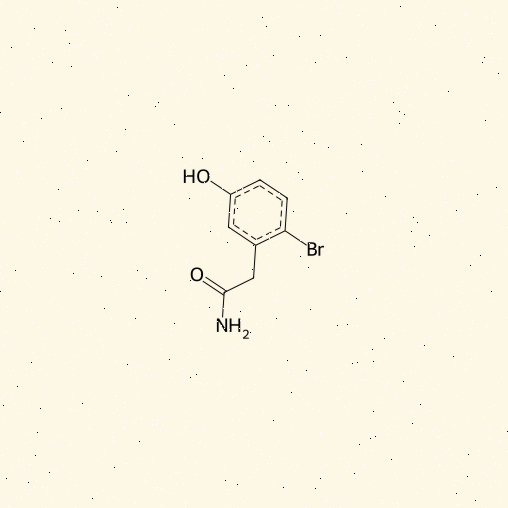 NC(=O)Cc1cc(O)ccc1Br